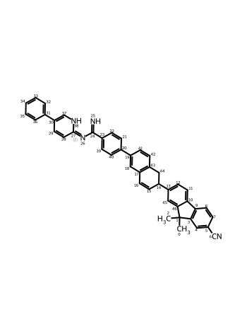 CC1(C)c2cc(C#N)ccc2-c2ccc(C3C=Cc4cc(-c5ccc(C(=N)/N=c6/ccc(-c7ccccc7)c[nH]6)cc5)ccc4C3)cc21